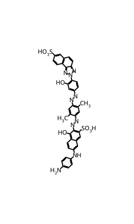 Cc1cc(N=Nc2c(S(=O)(=O)O)cc3cc(Nc4ccc(N)cc4)ccc3c2O)c(C)cc1N=Nc1ccc(-n2nc3ccc4cc(S(=O)(=O)O)ccc4c3n2)c(O)c1